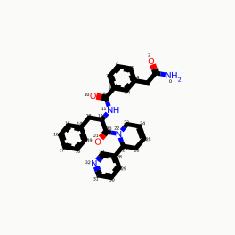 NC(=O)Cc1cccc(C(=O)NC(Cc2ccccc2)C(=O)N2CC=CCC2c2cccnc2)c1